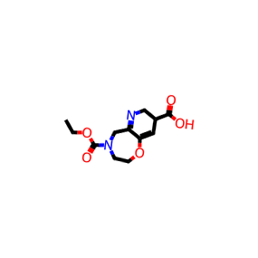 CCOC(=O)N1CCOC2=CC(C(=O)O)CN=C2C1